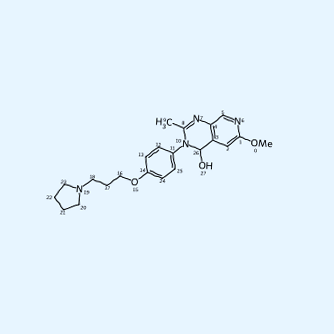 COc1cc2c(cn1)N=C(C)N(c1ccc(OCCCN3CCCC3)cc1)C2O